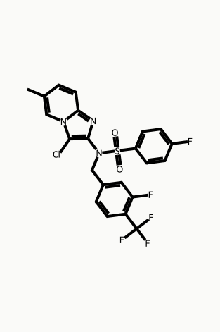 Cc1ccc2nc(N(Cc3ccc(C(F)(F)F)c(F)c3)S(=O)(=O)c3ccc(F)cc3)c(Cl)n2c1